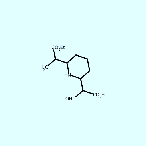 CCOC(=O)C(C)C1CCCC(C(C=O)C(=O)OCC)N1